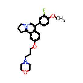 COc1ccc(-c2c[n+]3c(c4cc(OCCCN5CCOCC5)ccc24)CCC3)cc1F